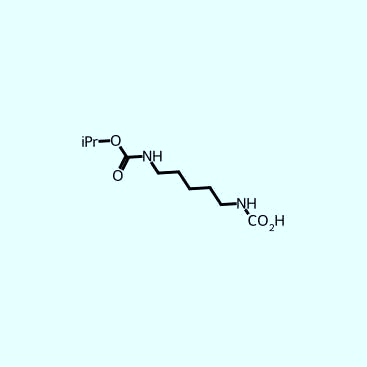 CC(C)OC(=O)NCCCCCNC(=O)O